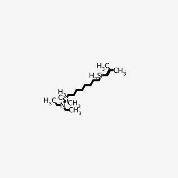 CCN(CC)[Si](C)(C)CCCCCCCC[SiH2]C=C(C)C